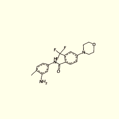 Cc1ccc(NC(=O)c2ccc(N3CCOCC3)cc2C(F)(F)F)cc1N